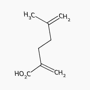 C=C(C)CCC(=C)C(=O)O